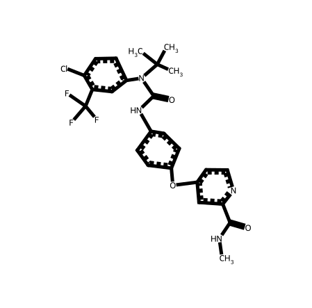 CNC(=O)c1cc(Oc2ccc(NC(=O)N(c3ccc(Cl)c(C(F)(F)F)c3)C(C)(C)C)cc2)ccn1